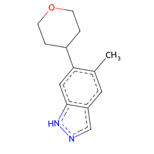 Cc1cc2cn[nH]c2cc1C1CCOCC1